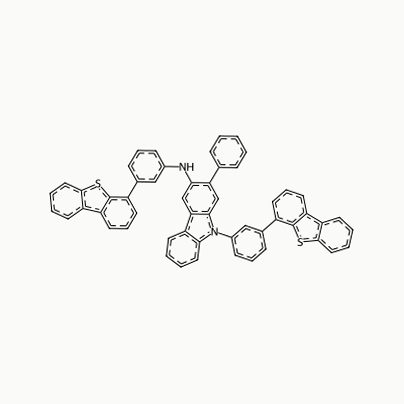 c1ccc(-c2cc3c(cc2Nc2cccc(-c4cccc5c4sc4ccccc45)c2)c2ccccc2n3-c2cccc(-c3cccc4c3sc3ccccc34)c2)cc1